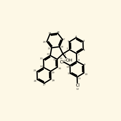 OC1(c2ccccc2-c2ccc(Cl)cc2Cl)c2ccccc2-c2cc3ccccc3cc21